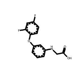 O=C(O)CNc1cccc(Oc2ccc(F)cc2F)c1